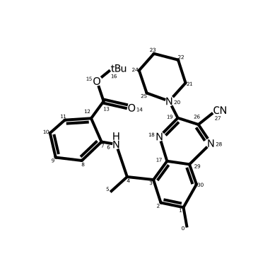 Cc1cc(C(C)Nc2ccccc2C(=O)OC(C)(C)C)c2nc(N3CCCCC3)c(C#N)nc2c1